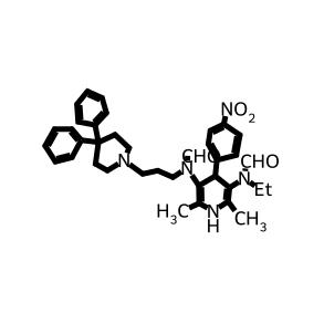 CCN(C=O)C1=C(C)NC(C)=C(N(C=O)CCCN2CCC(c3ccccc3)(c3ccccc3)CC2)C1c1ccc([N+](=O)[O-])cc1